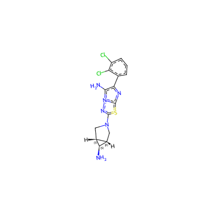 Nc1c(-c2cccc(Cl)c2Cl)nc2sc(N3C[C@@H]4[C@@H](N)[C@@H]4C3)nn12